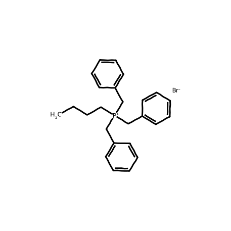 CCCC[P+](Cc1ccccc1)(Cc1ccccc1)Cc1ccccc1.[Br-]